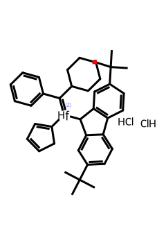 CC(C)(C)c1ccc2c(c1)[CH](/[Hf]([C]1=CC=CC1)=[C](/c1ccccc1)C1CCCCC1)c1cc(C(C)(C)C)ccc1-2.Cl.Cl